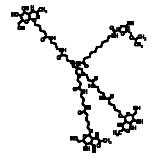 CC(=O)NC1C(OCCCCC(=O)NCCCNC(=O)CCOCC(COCCC(=O)NCCCNC(=O)CCCCOC2OC(CO)C(O)C(O)C2NC(C)=O)(COCCC(=O)NCCCNC(=O)CCCCOC2OC(CO)C(O)C(O)C2NC(C)=O)NC(=O)CCCCCCCCCNC(=O)[C@H]2C[C@@H](O)[C@H](COC(C)C)O2)OC(CO)C(O)C1O